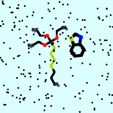 CCCSSSS[Si](OCC)(OCC)OCC.c1ccc2scnc2c1